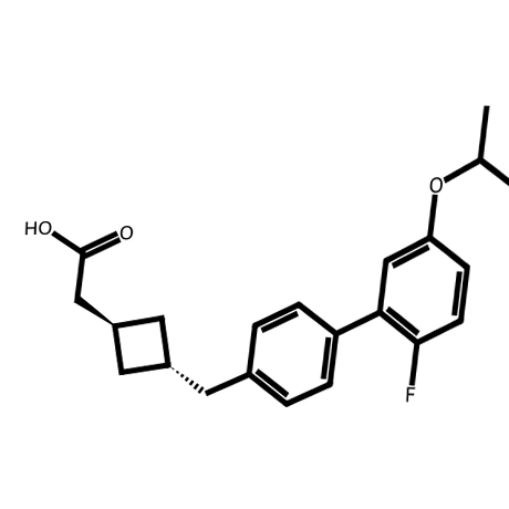 CC(C)Oc1ccc(F)c(-c2ccc(C[C@H]3C[C@H](CC(=O)O)C3)cc2)c1